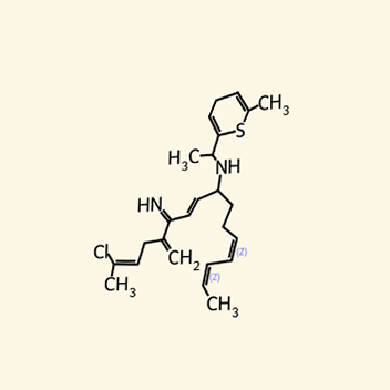 C=C(CC=C(C)Cl)C(=N)C=CC(CC/C=C\C=C/C)NC(C)C1=CCC=C(C)S1